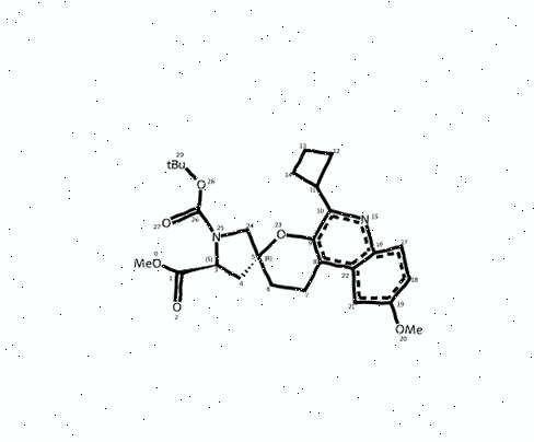 COC(=O)[C@@H]1C[C@]2(CCc3c(c(C4CCC4)nc4ccc(OC)cc34)O2)CN1C(=O)OC(C)(C)C